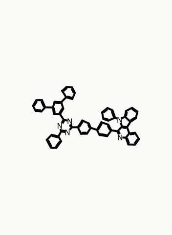 c1ccc(-c2cc(-c3ccccc3)cc(-c3nc(-c4ccccc4)nc(-c4ccc(-c5ccc(-c6nc7ccccc7c7c8ccccc8n(-c8ccccc8)c67)cc5)cc4)n3)c2)cc1